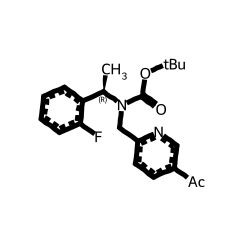 CC(=O)c1ccc(CN(C(=O)OC(C)(C)C)[C@H](C)c2ccccc2F)nc1